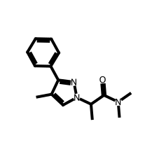 Cc1cn(C(C)C(=O)N(C)C)nc1-c1ccccc1